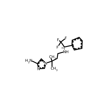 CC(C)(CCN[C@@H](c1ccccc1)C(F)(F)F)n1cnc(N)c1